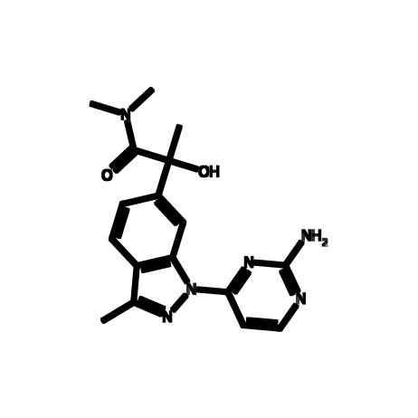 Cc1nn(-c2ccnc(N)n2)c2cc(C(C)(O)C(=O)N(C)C)ccc12